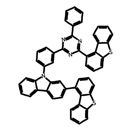 c1ccc(-c2nc(-c3cccc(-n4c5ccccc5c5ccc(-c6cccc7sc8ccccc8c67)cc54)c3)nc(-c3cccc4sc5ccccc5c34)n2)cc1